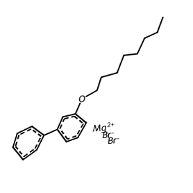 CCCCCCCCOc1cccc(-c2ccccc2)c1.[Br-].[Br-].[Mg+2]